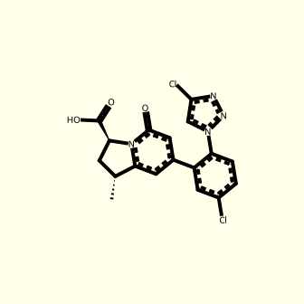 C[C@@H]1C[C@@H](C(=O)O)n2c1cc(-c1cc(Cl)ccc1-n1cc(Cl)nn1)cc2=O